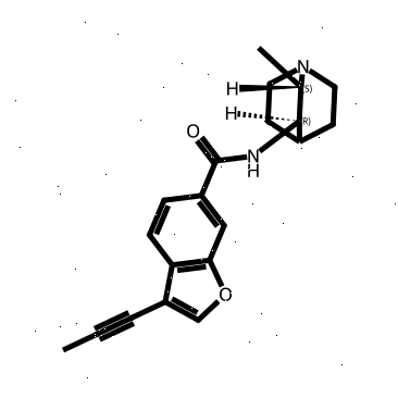 CC#Cc1coc2cc(C(=O)N[C@@H]3C4CCN(CC4)[C@H]3C)ccc12